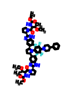 COC(=O)N[C@H](C(=O)N1CCC[C@H]1c1nc2c([nH]1)C=C(F)C([C@H]1CC[C@H](c3cc4nc([C@@H]5CCCN5C(=O)[C@@H](NC(=O)OC)[C@@H](C)OC)[nH]c4cc3F)N1c1cc(F)c(N3CCC(c4ccccc4)CC3)c(F)c1)C2)[C@@H](C)OC